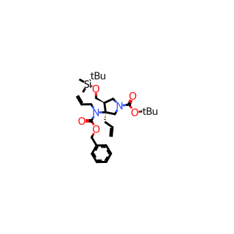 C=CCN(C(=O)OCc1ccccc1)[C@]1(CC=C)CN(C(=O)OC(C)(C)C)C[C@@H]1CO[Si](C)(C)C(C)(C)C